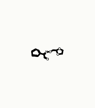 O=[C]C(=NOCC1OCCO1)c1ccccc1